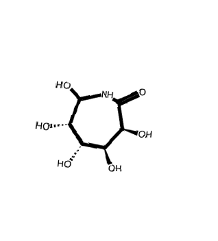 O=C1NC(O)[C@@H](O)[C@@H](O)[C@H](O)[C@@H]1O